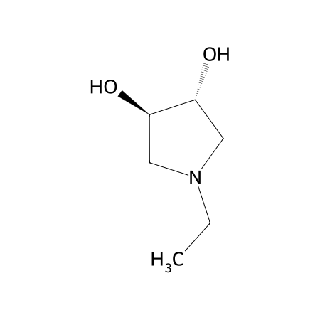 CCN1C[C@@H](O)[C@H](O)C1